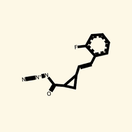 [N-]=[N+]=NC(=O)C1CC1C=Cc1ccccc1F